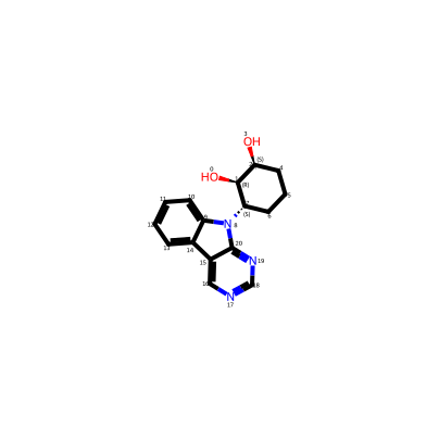 O[C@H]1[C@@H](O)CCC[C@@H]1n1c2ccccc2c2cncnc21